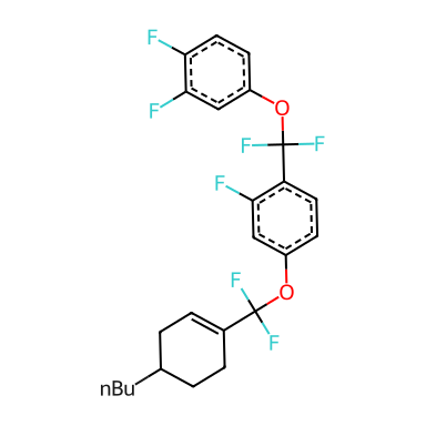 CCCCC1CC=C(C(F)(F)Oc2ccc(C(F)(F)Oc3ccc(F)c(F)c3)c(F)c2)CC1